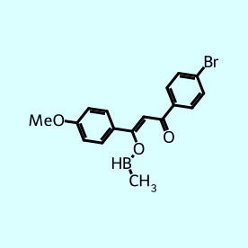 CBO/C(=C\C(=O)c1ccc(Br)cc1)c1ccc(OC)cc1